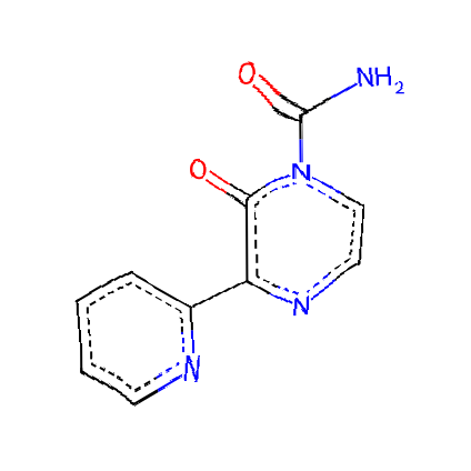 NC(=O)n1ccnc(-c2ccccn2)c1=O